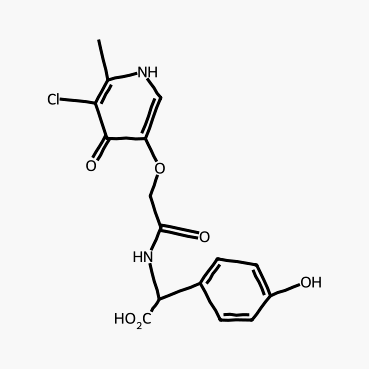 Cc1[nH]cc(OCC(=O)NC(C(=O)O)c2ccc(O)cc2)c(=O)c1Cl